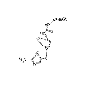 CCCCCNC(=O)Nc1ccc(Sc2cnc(N)s2)cc1